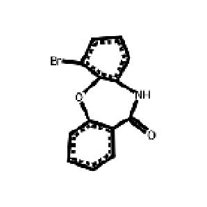 O=C1Nc2cccc(Br)c2Oc2ccccc21